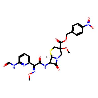 CON=C(C(=O)NC1C(=O)N2CC(OC)(C(=O)OCc3ccc([N+](=O)[O-])cc3)CS[C@H]12)c1cccc(NC=O)n1